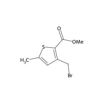 COC(=O)c1sc(C)cc1CBr